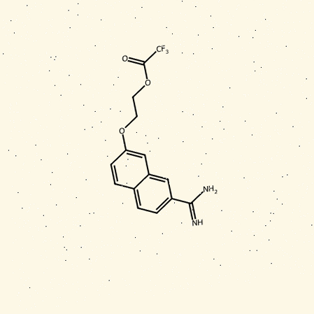 N=C(N)c1ccc2ccc(OCCOC(=O)C(F)(F)F)cc2c1